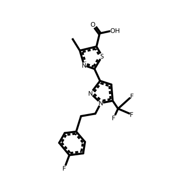 Cc1nc(-c2cc(C(F)(F)F)n(CCc3ccc(F)cc3)n2)sc1C(=O)O